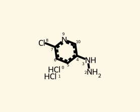 Cl.Cl.NNc1ccc(Cl)nc1